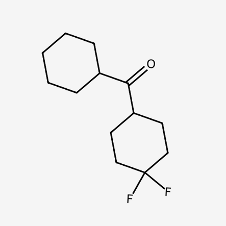 O=C(C1CCCCC1)C1CCC(F)(F)CC1